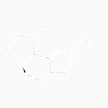 Cc1ccc(O)c(C2C(C(C)(C)C)CCC[C@@H]2C)c1